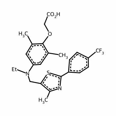 CCN(Cc1sc(-c2ccc(C(F)(F)F)cc2)nc1C)c1cc(C)c(OCC(=O)O)c(C)c1